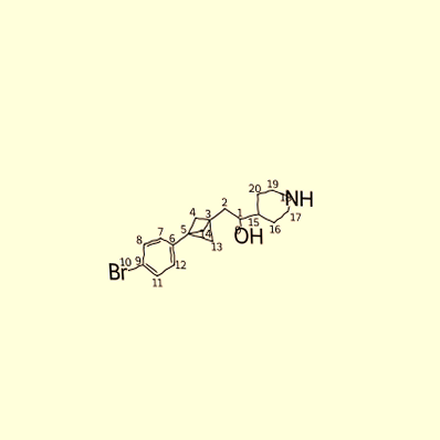 OC(CC12CC(c3ccc(Br)cc3)(C1)C2)C1CCNCC1